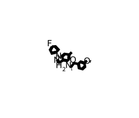 COc1cccc([C@@H](Oc2cc3cnn(-c4ccc(F)cc4)c3cc2C)[C@H](C)N)c1